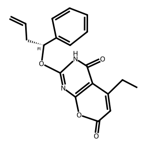 C=CC[C@@H](Oc1nc2oc(=O)cc(CC)c2c(=O)[nH]1)c1ccccc1